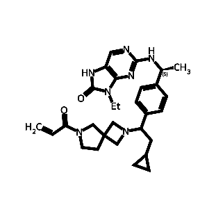 C=CC(=O)N1CCC2(C1)CN(C(CC1CC1)c1ccc([C@H](C)Nc3ncc4[nH]c(=O)n(CC)c4n3)cc1)C2